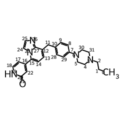 CCCN1CCN(c2ccc(Cc3ccc(-c4cc[nH]c(=O)c4)n4ccnc34)cc2)CC1